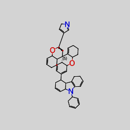 C1=CCC(N2C3=C(CCC=C3)C3C(C4=CC5OC6CCCC=C6[C@]6(C5C=C4)C4C=CC(C5=CCN=C5)=CC4OC4C=CCCC46)CC=CC32)C=C1